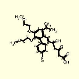 COCCOc1cc(C(C)C)c(C=CC(O)CC(=O)CC(=O)O)c(-c2ccc(F)cc2)c1OCCOC